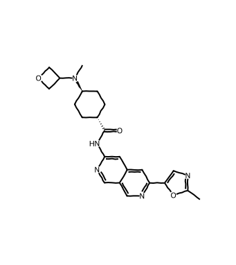 Cc1ncc(-c2cc3cc(NC(=O)[C@H]4CC[C@H](N(C)C5COC5)CC4)ncc3cn2)o1